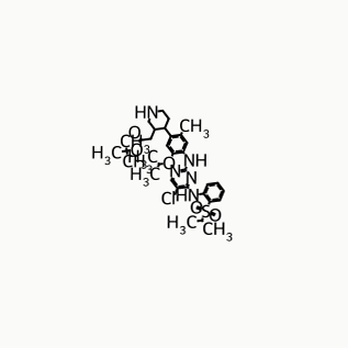 Cc1cc(Nc2ncc(Cl)c(Nc3ccccc3S(=O)(=O)C(C)C)n2)c(OC(C)C)cc1C1CCNCC1CC(=O)OC(C)(C)C